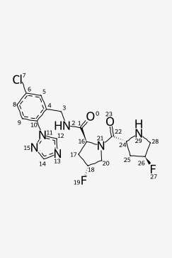 O=C(NCc1cc(Cl)ccc1-n1cncn1)[C@@H]1C[C@@H](F)CN1C(=O)[C@H]1C[C@H](F)CN1